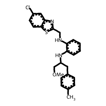 COCC(Cc1ccc(C)cc1)Nc1ccccc1NCc1nc2cc(Cl)ccc2s1